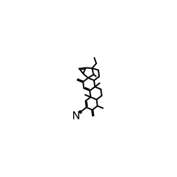 C=C1C(C#N)=CC2(C)C3=CC(=C)C45C6C=C6C(CC)(CCC4C3(C)CCC2C1C)C5C